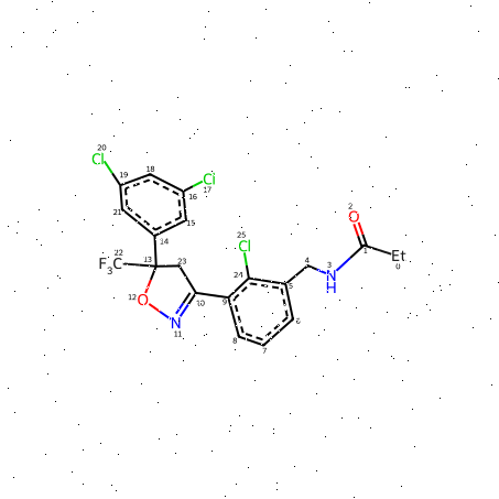 CCC(=O)NCc1cccc(C2=NOC(c3cc(Cl)cc(Cl)c3)(C(F)(F)F)C2)c1Cl